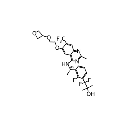 Cc1nc(N[C@H](C)c2cccc(C(F)(F)C(C)(C)O)c2F)c2cc(OCCOC3COC3)c(C(F)(F)F)cc2n1